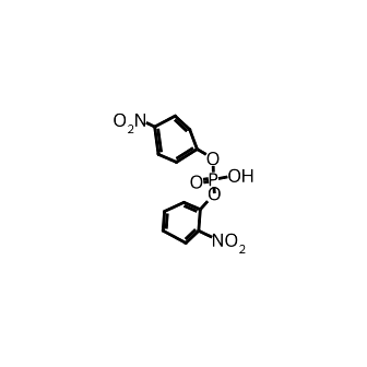 O=[N+]([O-])c1ccc(OP(=O)(O)Oc2ccccc2[N+](=O)[O-])cc1